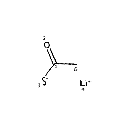 CC(=O)[S-].[Li+]